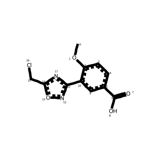 COc1ccc(C(=O)O)cc1-c1noc(CCl)n1